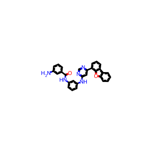 Nc1cccc(C(=O)Nc2cccc(Nc3cc(-c4cccc5c4oc4ccccc45)ncn3)c2)c1